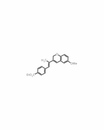 CCOC(=O)c1ccc(C=C(C)C2=Cc3cc(OC)ccc3OC2)cc1